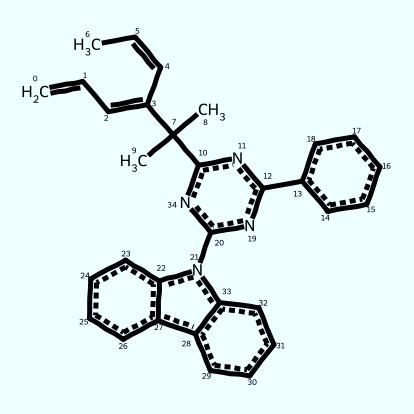 C=C/C=C(\C=C/C)C(C)(C)c1nc(-c2ccccc2)nc(-n2c3ccccc3c3ccccc32)n1